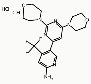 Cl.Cl.Nc1cc(C(F)(F)F)c(-c2cc(N3CCOCC3)nc(N3CCOCC3)n2)cn1